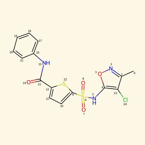 Cc1noc(NS(=O)(=O)c2ccc(C(=O)Nc3ccccc3)s2)c1Cl